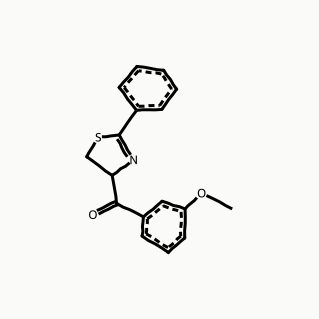 COc1cccc(C(=O)C2CSC(c3ccccc3)=N2)c1